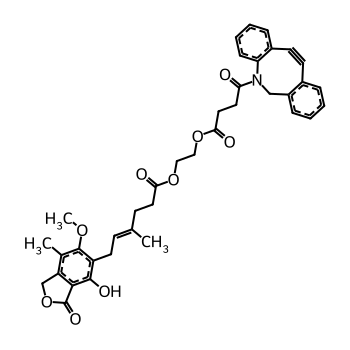 COc1c(C)c2c(c(O)c1C/C=C(\C)CCC(=O)OCCOC(=O)CCC(=O)N1Cc3ccccc3C#Cc3ccccc31)C(=O)OC2